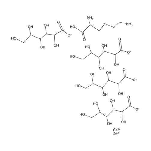 NCCCCC(N)C(=O)O.O=C([O-])C(O)C(O)C(O)C(O)CO.O=C([O-])C(O)C(O)C(O)C(O)CO.O=C([O-])C(O)C(O)C(O)C(O)CO.O=C([O-])C(O)C(O)C(O)C(O)CO.[Ca+2].[Zn+2]